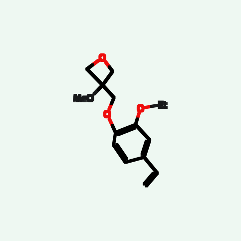 C=Cc1ccc(OCC2(OC)COC2)c(OCC)c1